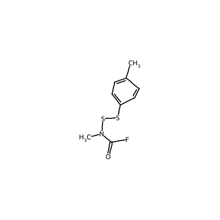 Cc1ccc(SSN(C)C(=O)F)cc1